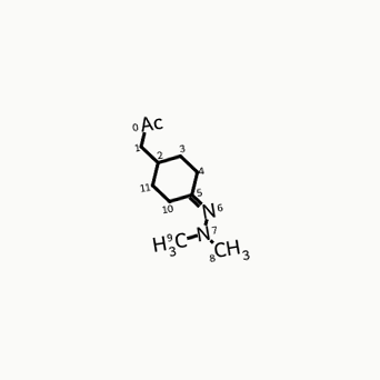 CC(=O)CC1CCC(=NN(C)C)CC1